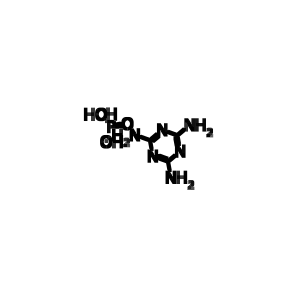 Nc1nc(N)nc(N)n1.O=[PH](O)O